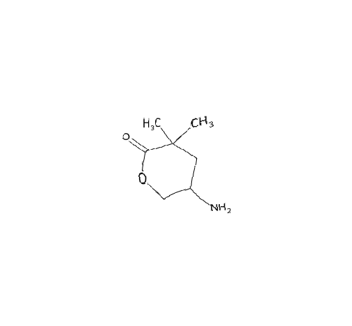 CC1(C)CC(N)COC1=O